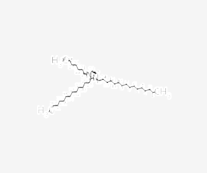 CCCCCCCCCCCCCCCCN1C=CN(CCCCCCC)C1CCCCCCCCCCCCC